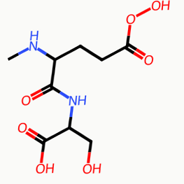 CNC(CCC(=O)OO)C(=O)NC(CO)C(=O)O